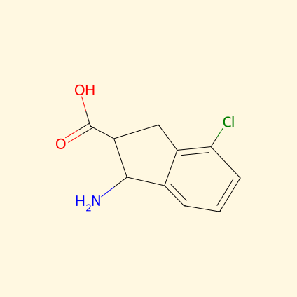 NC1c2cccc(Cl)c2CC1C(=O)O